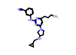 CCCCc1cc(N2CCC(NCC3CC3)C2)nc(Nc2cccc(C#N)c2)n1